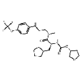 CN(CCNc1ccc(OC(F)(F)F)cc1)C(=O)[C@H](CC1CCCC1)NC(=O)O[C@@H]1CCOC1